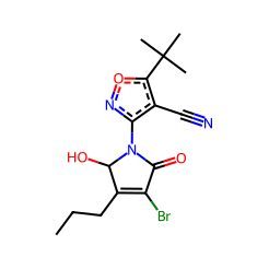 CCCC1=C(Br)C(=O)N(c2noc(C(C)(C)C)c2C#N)C1O